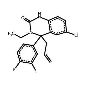 C=CCC1(c2ccc(F)c(F)c2)c2cc(Cl)ccc2NC(=O)N1CC(F)(F)F